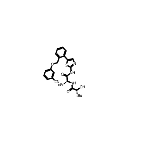 CCC[C@H](NC(=O)[C@@H](O)C(C)(C)C)C(=O)Nc1ncc(-c2ccccc2COc2cccc(C#N)c2)s1